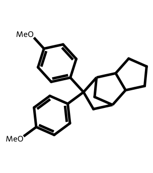 COc1ccc(C2(c3ccc(OC)cc3)CC3CC2C2CCCC32)cc1